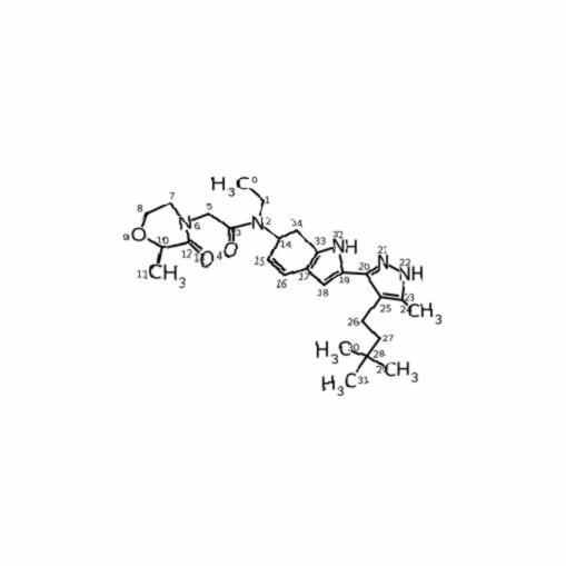 CCN(C(=O)CN1CCOC(C)C1=O)C1C=Cc2cc(-c3n[nH]c(C)c3CCC(C)(C)C)[nH]c2C1